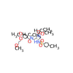 COCCCOc1cc(C(=O)N(CC2CN(C(=O)OC(C)(C)C)CC2NS(=O)(=O)c2ccc(C)cc2)C(C)C)ccc1OC